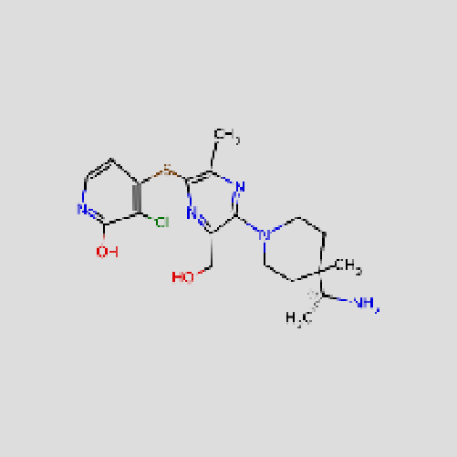 Cc1nc(N2CCC(C)([C@@H](C)N)CC2)c(CO)nc1Sc1ccnc(O)c1Cl